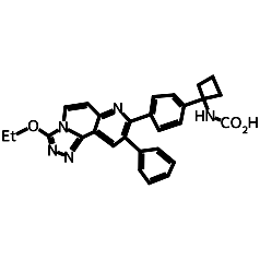 CCOc1nnc2c3cc(-c4ccccc4)c(-c4ccc(C5(NC(=O)O)CCC5)cc4)nc3ccn12